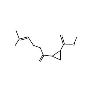 C=C(CCC=C(C)C)C1CC1C(=O)OC